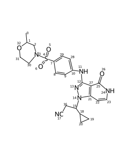 CC1CN(S(=O)(=O)c2ccc(Nc3nn(C(CC#N)C4CC4)c4cc[nH]c(=O)c34)cc2)CCO1